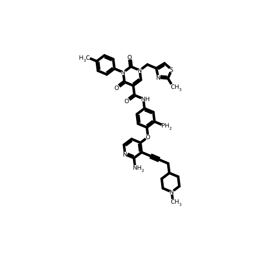 Cc1ccc(-n2c(=O)c(C(=O)Nc3ccc(Oc4ccnc(N)c4C#CCC4CCN(C)CC4)c(P)c3)cn(Cc3csc(C)n3)c2=O)cc1